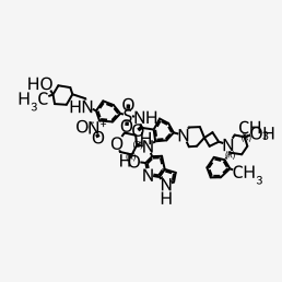 Cc1ccccc1[C@H]1CC[C@@](C)(O)CN1C1CC2(CCN(c3ccc(C(=O)NS(=O)(=O)c4ccc(NCC5CCC(C)(O)CC5)c([N+](=O)[O-])c4)c(N4c5cc6cc[nH]c6nc5O[C@H]5COCC[C@@H]54)c3)CC2)C1